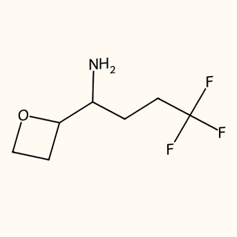 NC(CCC(F)(F)F)C1CCO1